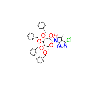 Cc1cn([C@@H]2O[C@H](COCc3ccccc3)[C@@H](OCc3ccccc3)[C@H](OCc3ccccc3)[C@@H](OCc3ccccc3)[C@H]2O)c2ncnc(Cl)c12